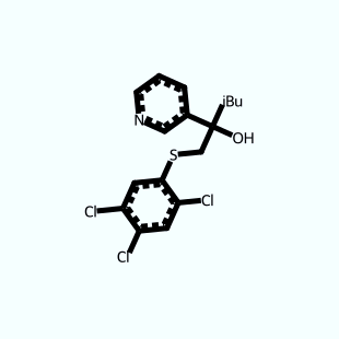 CCC(C)C(O)(CSc1cc(Cl)c(Cl)cc1Cl)c1cccnc1